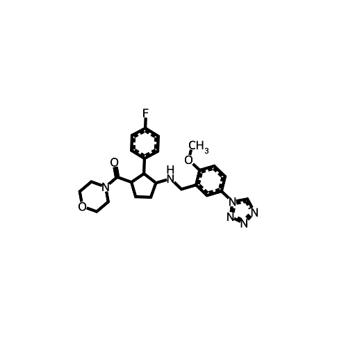 COc1ccc(-n2cnnn2)cc1CNC1CCC(C(=O)N2CCOCC2)C1c1ccc(F)cc1